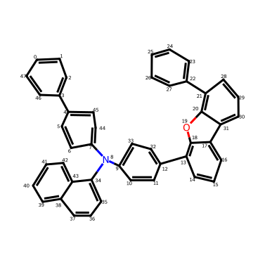 c1ccc(-c2ccc(N(c3ccc(-c4cccc5c4oc4c(-c6ccccc6)cccc45)cc3)c3cccc4ccccc34)cc2)cc1